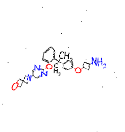 CC(C)(c1ccc(OC2CC(N)C2)cc1)c1ccccc1Oc1ncc(N2CC3(COC3)C2)cn1